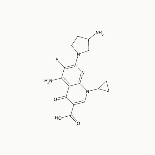 Nc1c(F)c(N2CCC(N)C2)nc2c1c(=O)c(C(=O)O)cn2C1CC1